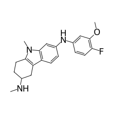 CNC1CCc2c(c3ccc(Nc4ccc(F)c(OC)c4)cc3n2C)C1